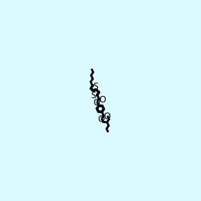 CCCCCc1cc2sc(C(=O)Oc3ccc(C4OCC(CCC)CO4)cc3)cc2s1